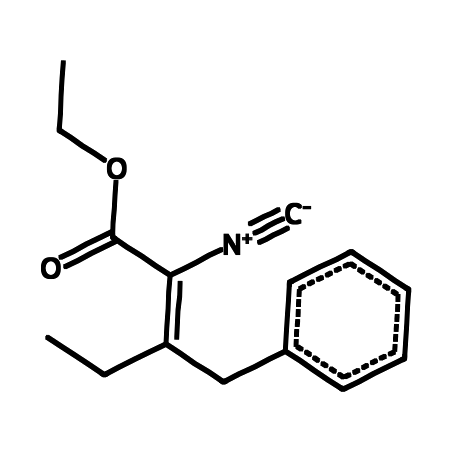 [C-]#[N+]C(C(=O)OCC)=C(CC)Cc1ccccc1